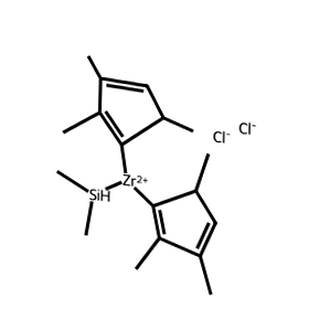 CC1=CC(C)[C]([Zr+2]([C]2=C(C)C(C)=CC2C)[SiH](C)C)=C1C.[Cl-].[Cl-]